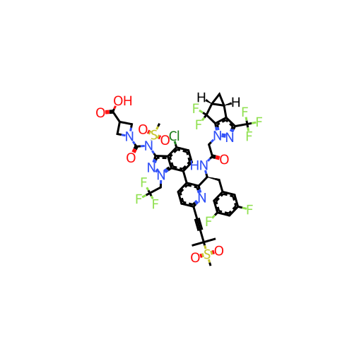 CC(C)(C#Cc1ccc(-c2ccc(Cl)c3c(N(C(=O)N4CC(C(=O)O)C4)S(C)(=O)=O)nn(CC(F)(F)F)c23)c([C@H](Cc2cc(F)cc(F)c2)NC(=O)Cn2nc(C(F)(F)F)c3c2C(F)(F)[C@@H]2C[C@H]32)n1)S(C)(=O)=O